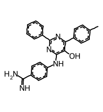 Cc1ccc(-c2nc(-c3ccccc3)nc(Nc3ccc(C(=N)N)cc3)c2O)cc1